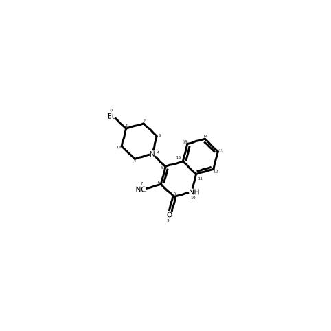 CCC1CCN(c2c(C#N)c(=O)[nH]c3ccccc23)CC1